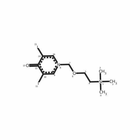 C[Si](C)(C)CCOCn1cc(I)c(=O)c(I)c1